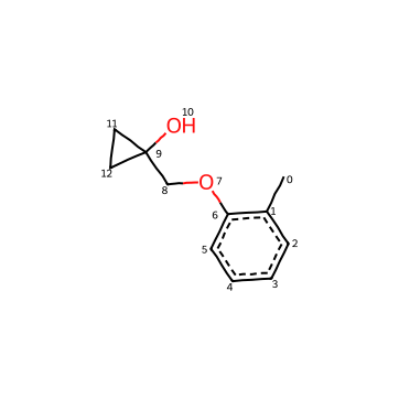 Cc1ccccc1OCC1(O)CC1